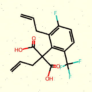 C=CCc1c(F)ccc(C(F)(F)F)c1C(CC=C)(C(=O)O)C(=O)O